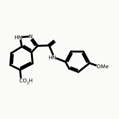 C=C(Nc1ccc(OC)cc1)c1n[nH]c2ccc(C(=O)O)cc12